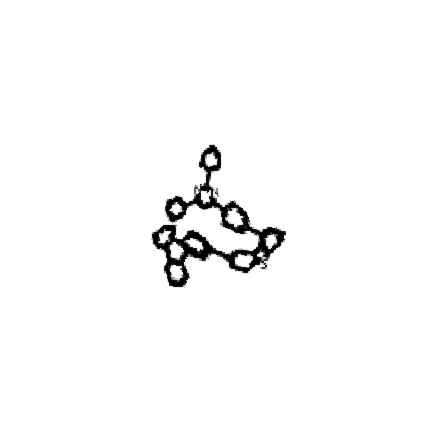 c1ccc(-c2cc(-c3ccc(-c4cccc5sc6ccc(-c7ccc8c9ccccc9c9ccccc9c8c7)cc6c45)cc3)nc(-c3ccccc3)n2)cc1